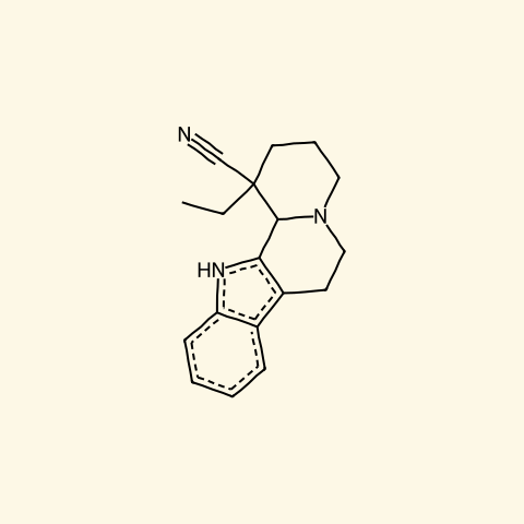 CCC1(C#N)CCCN2CCc3c([nH]c4ccccc34)C21